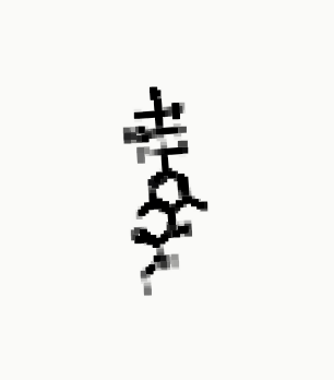 CCNC(=O)Nc1c(C)cc(C(F)(F)C(O)(F)C(F)(F)F)cc1C